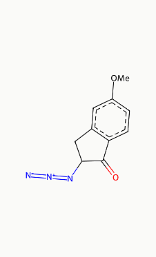 COc1ccc2c(c1)CC(N=[N+]=[N-])C2=O